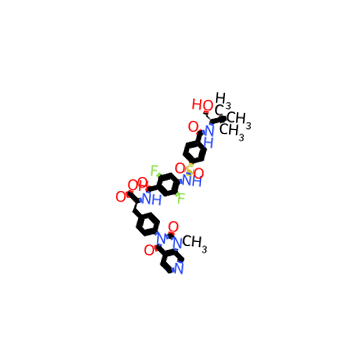 Cn1c(=O)n(-c2ccc(C[C@H](NC(=O)c3cc(F)c(NS(=O)(=O)c4ccc(C(=O)N[C@H](CO)C(C)(C)C)cc4)cc3F)C(=O)O)cc2)c(=O)c2ccncc21